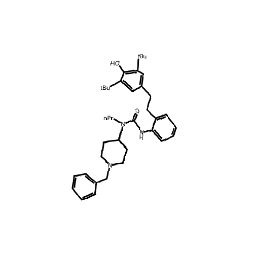 CCCN(C(=O)Nc1ccccc1CCc1cc(C(C)(C)C)c(O)c(C(C)(C)C)c1)C1CCN(Cc2ccccc2)CC1